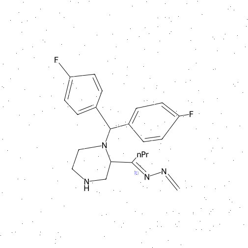 C=N/N=C(\CCC)C1CNCCN1C(c1ccc(F)cc1)c1ccc(F)cc1